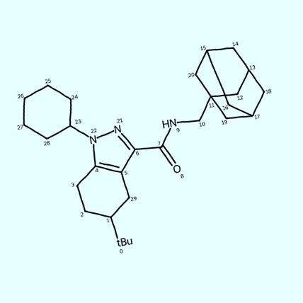 CC(C)(C)C1CCc2c(c(C(=O)NCC34CC5CC(CC(C5)C3)C4)nn2C2CCCCC2)C1